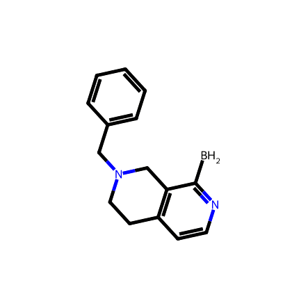 Bc1nccc2c1CN(Cc1ccccc1)CC2